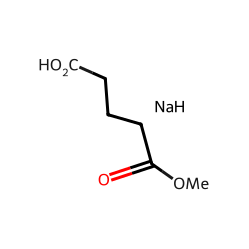 COC(=O)CCCC(=O)O.[NaH]